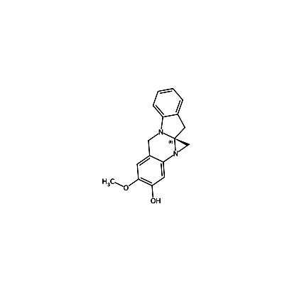 COc1cc2c(cc1O)N1C[C@@]13Cc1ccccc1N3C2